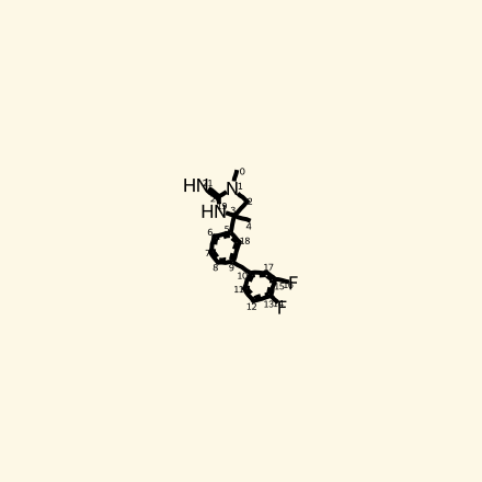 CN1CC(C)(c2cccc(-c3ccc(F)c(F)c3)c2)NC1=N